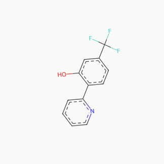 Oc1cc(C(F)(F)F)ccc1-c1ccccn1